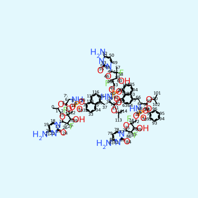 CC(C)OC(=O)[C@H](C)NP(=O)(OC[C@@]1(F)O[C@@H](n2ccc(N)nc2=O)[C@](C)(F)[C@@H]1O)Oc1cccc2c(C[C@H](NP(=O)(OC[C@@]3(F)O[C@@H](n4ccc(N)nc4=O)[C@](C)(F)[C@@H]3O)Oc3ccc(C[C@H](NP(=O)(OC[C@@]4(F)O[C@@H](n5ccc(N)nc5=O)[C@](C)(F)[C@@H]4O)Oc4ccccc4)C(=O)OC(C)C)c4ccccc34)C(=O)OC(C)C)cccc12